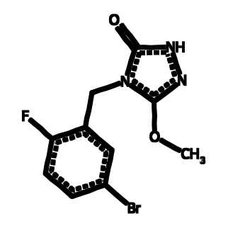 COc1n[nH]c(=O)n1Cc1cc(Br)ccc1F